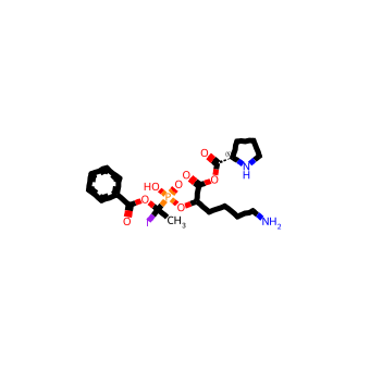 CC(I)(OC(=O)c1ccccc1)P(=O)(O)OC(CCCCN)C(=O)OC(=O)[C@@H]1CCCN1